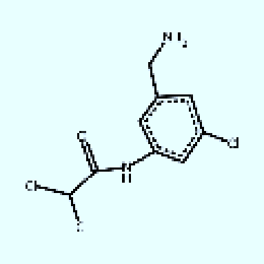 NCc1cc(Cl)cc(NC(=O)C(Cl)Cl)c1